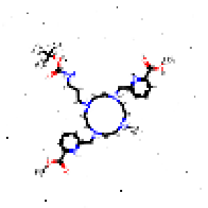 COC(=O)c1cccc(CN2CCN(C)CCN(Cc3cccc(C(=O)OC)n3)CCN(CCCNC(=O)OC(C)(C)C)CC2)n1